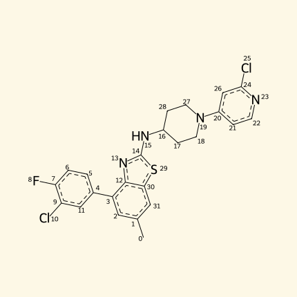 Cc1cc(-c2ccc(F)c(Cl)c2)c2nc(NC3CCN(c4ccnc(Cl)c4)CC3)sc2c1